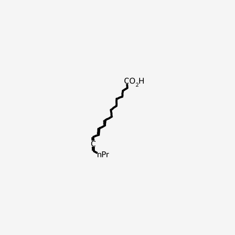 CCCC=C=CC=CC=CCCCCCCCC(=O)O